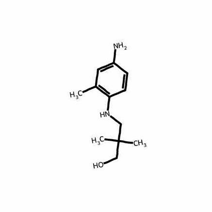 Cc1cc(N)ccc1NCC(C)(C)CO